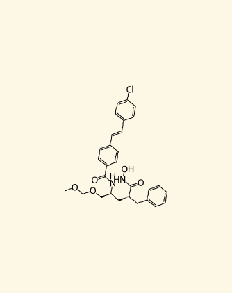 COCOC[C@H](C[C@H](Cc1ccccc1)C(=O)NO)NC(=O)c1ccc(C=Cc2ccc(Cl)cc2)cc1